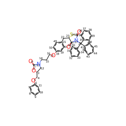 O=C1OC(COc2ccccc2)CN1CCCOc1ccc(CC2SC(=O)N(C(c3ccccc3)(c3ccccc3)c3ccccc3)C2=O)cc1